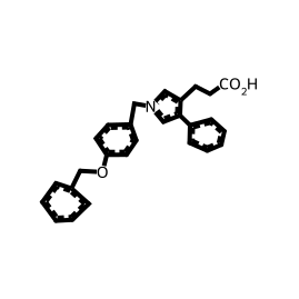 O=C(O)CCc1cn(Cc2ccc(OCc3ccccc3)cc2)cc1-c1ccccc1